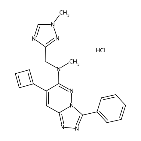 CN(Cc1ncn(C)n1)c1nn2c(-c3ccccc3)nnc2cc1C1=CC=C1.Cl